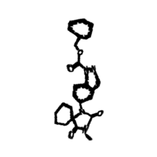 CN1C(=O)N(c2ccc3c(cnn3C(=O)OCc3ccccc3)c2)C2(CCCCC2)C1=O